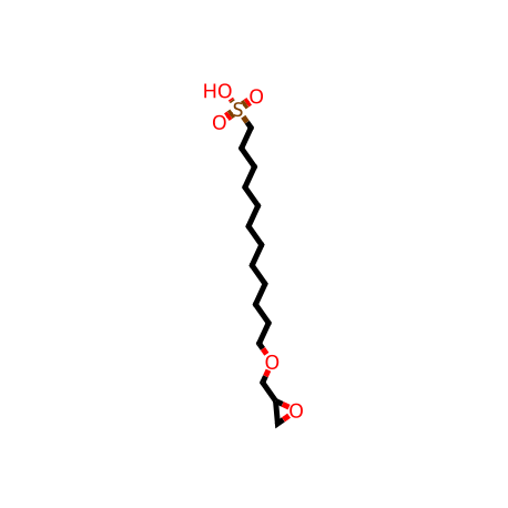 O=S(=O)(O)CCCCCCCCCCCCOCC1CO1